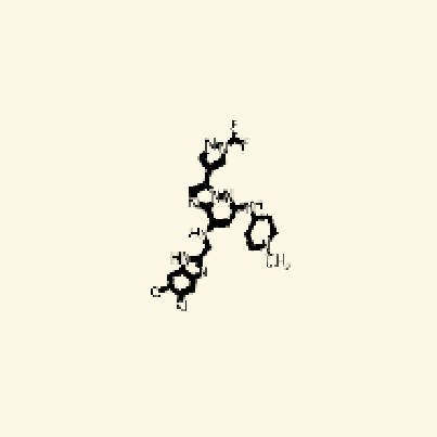 CN1CCC(Nc2cc(NCc3nc4cc(Cl)c(Cl)cc4[nH]3)c3ncc(-c4cnn(C(F)F)c4)n3n2)CC1